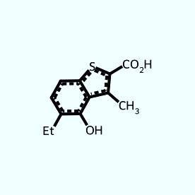 CCc1ccc2sc(C(=O)O)c(C)c2c1O